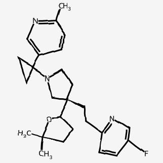 Cc1ccc(C2(N3CC[C@](CCc4ccc(F)cn4)(C4CCC(C)(C)O4)C3)CC2)cn1